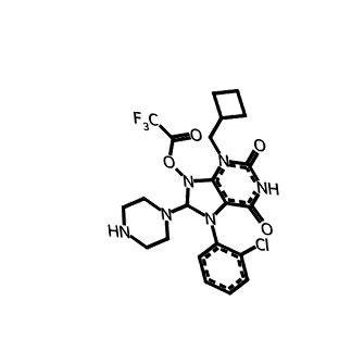 O=C(ON1c2c(c(=O)[nH]c(=O)n2CC2CCC2)N(c2ccccc2Cl)C1N1CCNCC1)C(F)(F)F